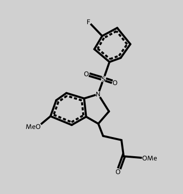 COC(=O)CCC1CN(S(=O)(=O)c2cccc(F)c2)c2ccc(OC)cc21